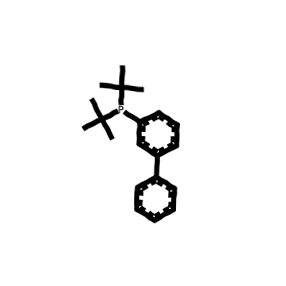 CC(C)(C)P(c1cccc(-c2ccccc2)c1)C(C)(C)C